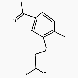 CC(=O)c1ccc(C)c(OCC(F)F)c1